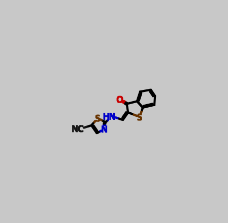 N#Cc1cnc(NC=C2Sc3ccccc3C2=O)s1